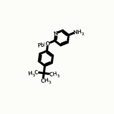 CC(C)(C)c1ccc(Oc2ccc(N)cn2)cc1.[Pb]